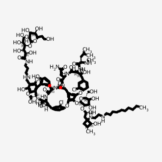 CCCCCCCCCCNCCNC1(C[C@@H](O)O[C@@H]2C(O)C(O)[C@@H](CO)O[C@H]2Oc2c3cc4cc2Oc2ccc(cc2Cl)[C@@H](O)[C@@H](NC(=O)[C@@H](CC(C)C)NC)C(=O)NC(CC(N)=O)C(=O)N[C@H]4C(=O)N[C@@H]2C(=O)N[C@H](C(=O)N[C@H](C(=O)O)c4cc(O)c(CNCCCNC(=O)[C@H](O)[C@@H](O)[C@H](O[C@@H]5OC(CCO)[C@H](O)[C@H](O)C5O)[C@H](O)CO)c(O)c4-c4cc2ccc4O)[C@H](O)c2ccc(c(Cl)c2)O3)C[C@@H](C)[C@H]1O